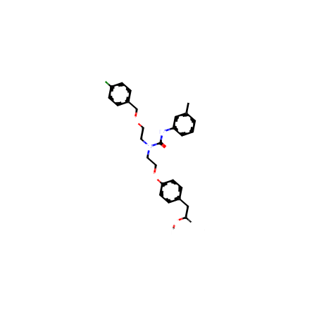 CCOC(Cc1ccc(OCCN(CCOCc2ccc(F)cc2)C(=O)Nc2cccc(C)c2)cc1)C(=O)O